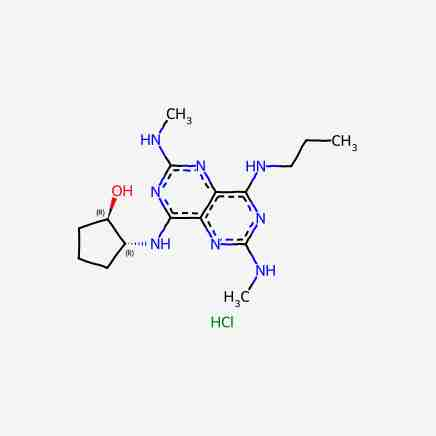 CCCNc1nc(NC)nc2c(N[C@@H]3CCC[C@H]3O)nc(NC)nc12.Cl